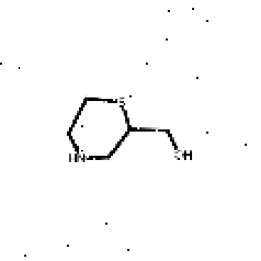 OCC1CNCCS1